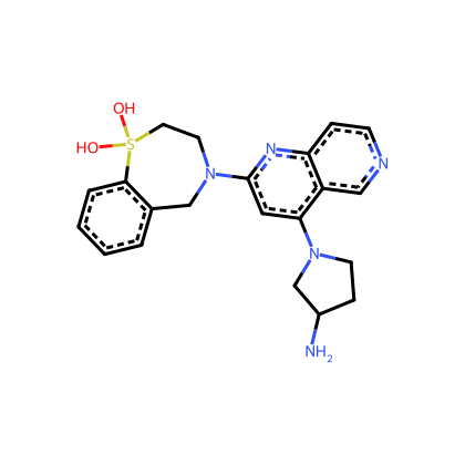 NC1CCN(c2cc(N3CCS(O)(O)c4ccccc4C3)nc3ccncc23)C1